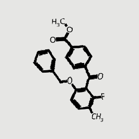 COC(=O)c1ccc(C(=O)c2c(OCc3ccccc3)ccc(C)c2F)cc1